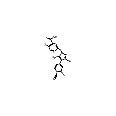 Cc1nn(Cc2cc(C(=O)O)c(Cl)cn2)c(C)c1-c1ccc(C#N)c(Cl)c1